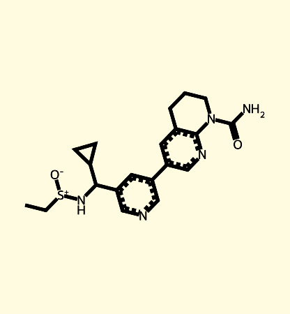 CC[S+]([O-])NC(c1cncc(-c2cnc3c(c2)CCCN3C(N)=O)c1)C1CC1